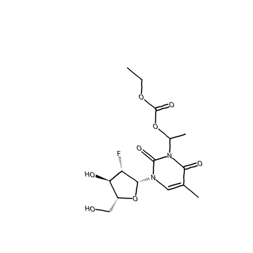 CCOC(=O)OC(C)n1c(=O)c(C)cn([C@@H]2O[C@H](CO)[C@@H](O)[C@@H]2F)c1=O